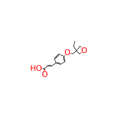 CCC1(COc2ccc(C=CC(=O)O)cc2)COC1